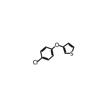 Clc1ccc(Oc2ccsc2)cc1